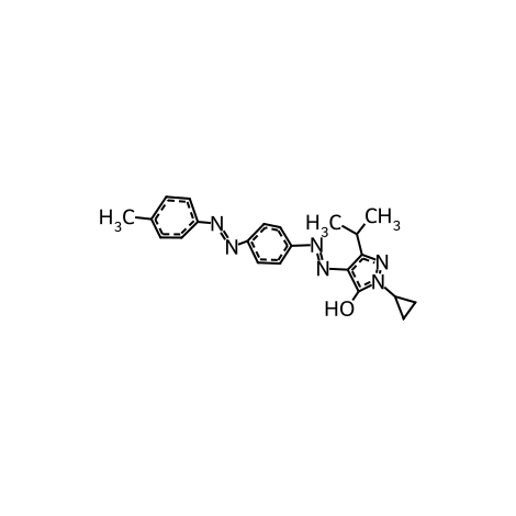 Cc1ccc(N=Nc2ccc(N=Nc3c(C(C)C)nn(C4CC4)c3O)cc2)cc1